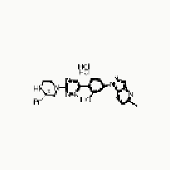 Cc1ccc2c(cnn2-c2ccc(-c3cnc(N4CCN[C@@H](C(C)C)C4)nn3)c(O)c2)n1.Cl.Cl